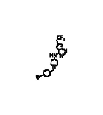 FC(F)(F)Cc1cc2c(NC3CCN(Cc4ccc(C5CC5)cc4)CC3)ncnc2s1